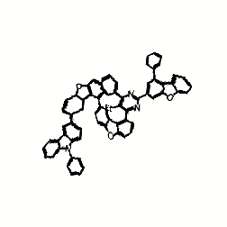 CCc1c(-c2ccccc2)nc(-c2cc(-c3ccccc3)c3c(c2)oc2ccccc23)nc1-c1cccc2oc3ccc(-c4cccc5c4C4CC(c6ccc7c(c6)c6ccccc6n7-c6ccccc6)C=CC4O5)cc3c12